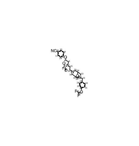 CS(=O)(=O)N(CCOc1ccc(C#N)cc1)CCN1CC2CN(Cc3ccc(OC(F)F)cc3)CC(C1)O2